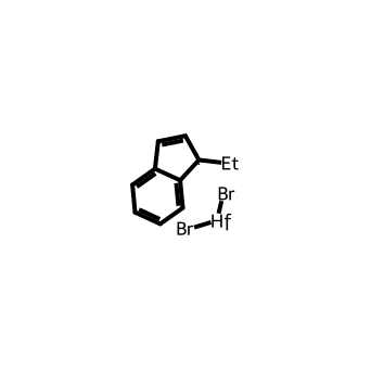 CC[C]1C=Cc2ccccc21.[Br][Hf][Br]